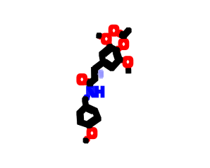 COc1ccc(CNC(=O)/C=C/c2cc(OC)c(OC(C)=O)c(OC)c2)cc1